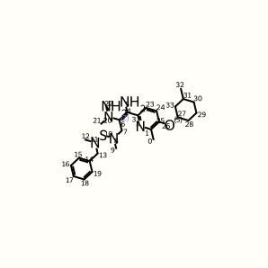 Cc1nc(/C(N)=C(\CN(C)SN(C)Cc2ccccc2)N(C)N)ccc1O[C@H]1CCCC(C)C1